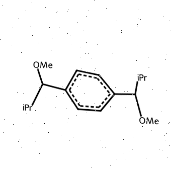 COC(c1ccc(C(OC)C(C)C)cc1)C(C)C